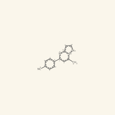 Cc1cc(-c2ccc(C#N)cc2)nc2ccnn12